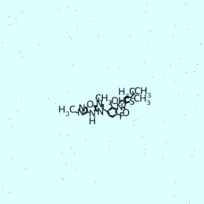 CCn1cc(Nc2nc(-c3ccc(F)c(N4Cc5cc(C(C)(C)C)sc5C4=O)c3CO)cn(C)c2=O)cn1